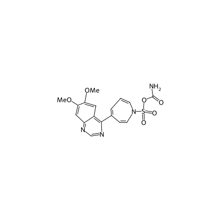 COc1cc2ncnc(C3=CC=CN(S(=O)(=O)OC(N)=O)C=C3)c2cc1OC